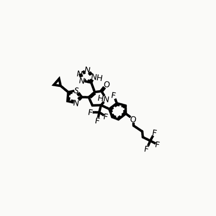 O=C1NC(c2ccc(OCCCC(F)(F)F)cc2F)(C(F)(F)F)CC(c2ncc(C3CC3)s2)=C1c1nnn[nH]1